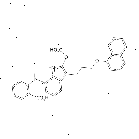 O=C(O)Oc1[nH]c2c(Nc3ccccc3C(=O)O)cccc2c1CCCOc1cccc2ccccc12